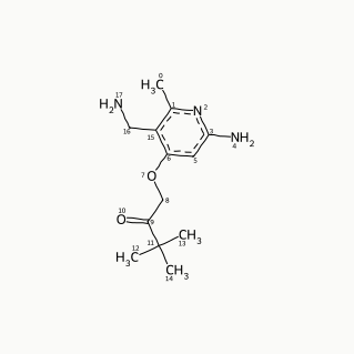 Cc1nc(N)cc(OCC(=O)C(C)(C)C)c1CN